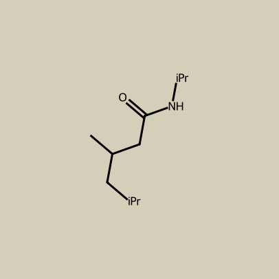 CC(C)CC(C)CC(=O)NC(C)C